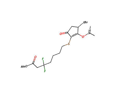 COC(=O)CC(F)(F)CCCCSC1=C(O[SiH](C)C)C(C(C)(C)C)CC1=O